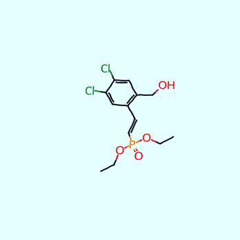 CCOP(=O)(C=Cc1cc(Cl)c(Cl)cc1CO)OCC